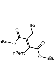 CCCCCC(C(=O)OCCCC)=C(CC(C)(C)C)C(=O)OCCCC